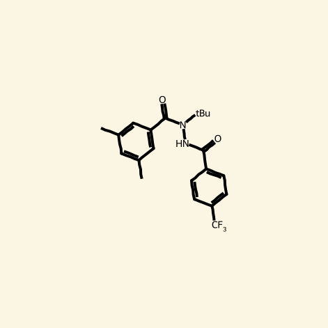 Cc1cc(C)cc(C(=O)N(NC(=O)c2ccc(C(F)(F)F)cc2)C(C)(C)C)c1